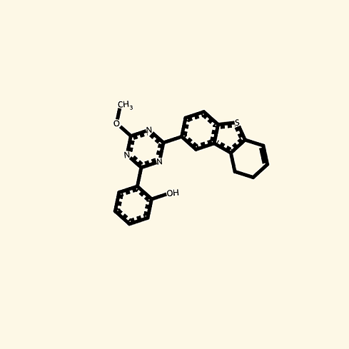 COc1nc(-c2ccc3sc4c(c3c2)CCC=C4)nc(-c2ccccc2O)n1